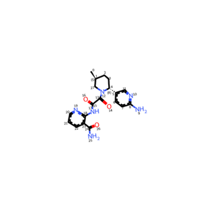 C[C@H]1CC[C@H](c2ccc(N)nc2)N(C(=O)C(=O)Nc2ncccc2C(N)=O)C1